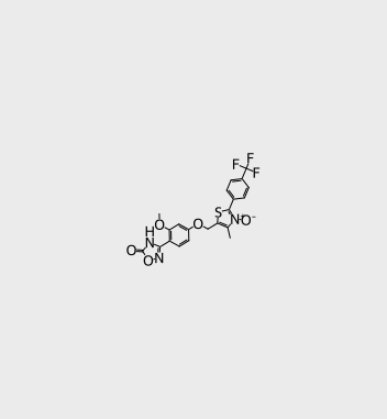 COc1cc(OCc2sc(-c3ccc(C(F)(F)F)cc3)[n+]([O-])c2C)ccc1-c1noc(=O)[nH]1